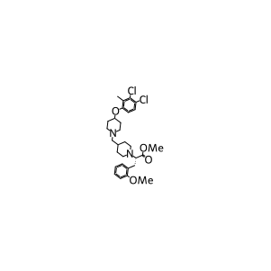 COC(=O)[C@H](Cc1ccccc1OC)N1CCC(CN2CCC(Oc3ccc(Cl)c(Cl)c3C)CC2)CC1